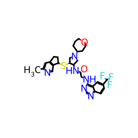 Cc1cc2c(cn1)C(S[C@H]1CN(C3CCCOCC3)CC1NC(=O)CNc1ncnc3ccc(C(F)(F)F)cc13)CC2